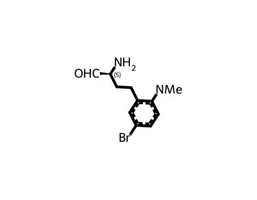 CNc1ccc(Br)cc1CC[C@H](N)C=O